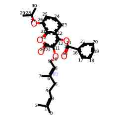 CC(C)=CCC/C(C)=C/COc1c(OC(=O)c2ccccc2)c2cccc(OC(C)C)c2oc1=O